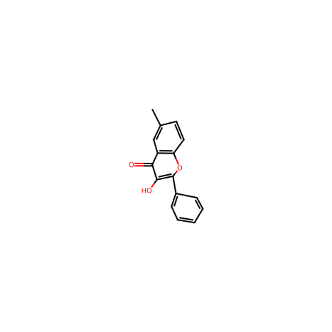 Cc1ccc2oc(-c3ccccc3)c(O)c(=O)c2c1